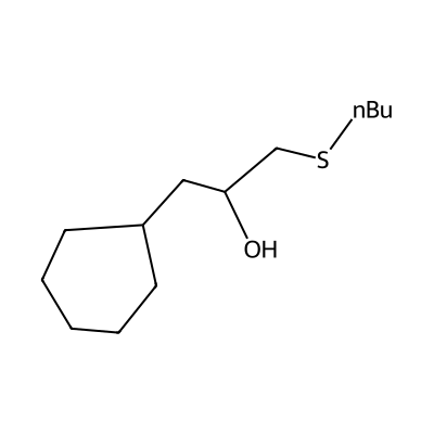 CCCCSCC(O)CC1CCCCC1